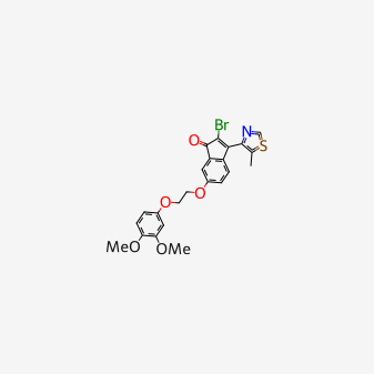 COc1ccc(OCCOc2ccc3c(c2)C(=O)C(Br)=C3c2ncsc2C)cc1OC